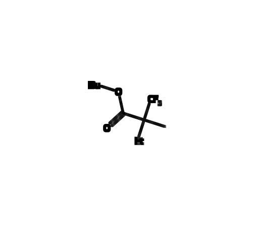 CCC(C)OC(=O)C(C)(CC)C(F)(F)F